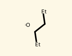 [C]CCCCC.[O]